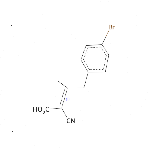 C/C(Cc1ccc(Br)cc1)=C(/C#N)C(=O)O